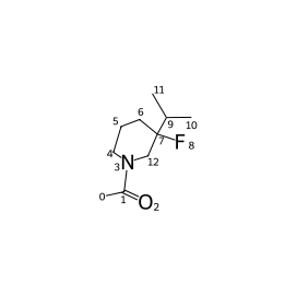 CC(=O)N1CCCC(F)(C(C)C)C1